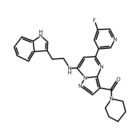 O=C(c1cnn2c(NCCc3c[nH]c4ccccc34)cc(-c3cncc(F)c3)nc12)N1CCCCC1